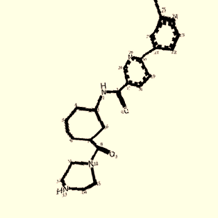 O=C(NC1CCCC(C(=O)N2CCNCC2)C1)c1ccc(-c2cccc(F)c2)nc1